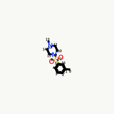 Cc1[c]ccc(S(=O)(=O)N2CCN(C)CC2)c1